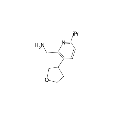 CC(C)c1ccc(C2CCOC2)c(CN)n1